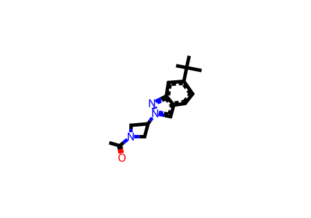 CC(=O)N1CC(n2cc3ccc(C(C)(C)C)cc3n2)C1